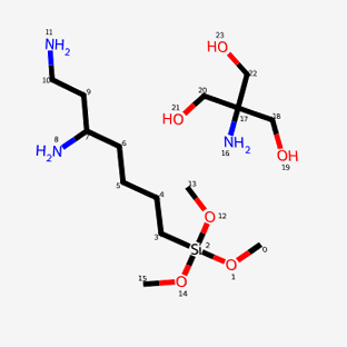 CO[Si](CCCCC(N)CCN)(OC)OC.NC(CO)(CO)CO